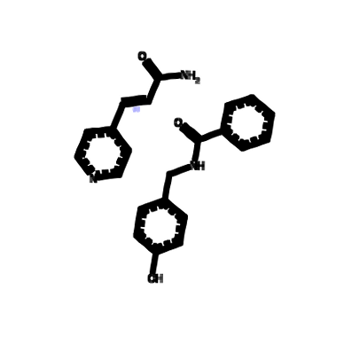 NC(=O)/C=C/c1ccncc1.O=C(NCc1ccc(O)cc1)c1ccccc1